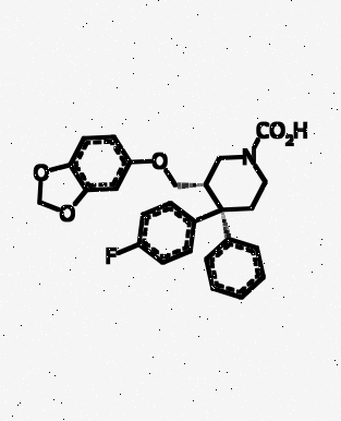 O=C(O)N1CC[C@@](c2ccccc2)(c2ccc(F)cc2)[C@H](COc2ccc3c(c2)OCO3)C1